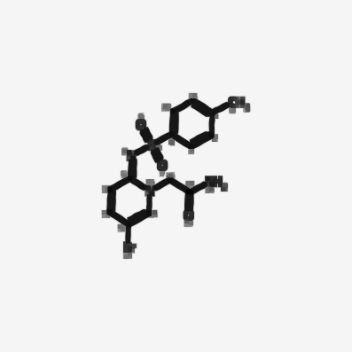 Cc1ccc(S(=O)(=O)N=c2ccc(Br)cn2CC(N)=O)cc1